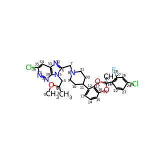 CO[C@H](C)Cn1c(CN2CCC(c3cccc4c3O[C@@](C)(c3ccc(Cl)cc3F)O4)CC2)nc2cc(Cl)nnc21